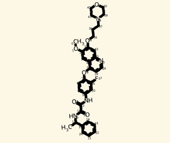 COc1cc2c(Oc3ccc(NC(=O)C(=O)NC(C)c4ccccc4)cc3F)ccnc2cc1OCCCN1CCOCC1